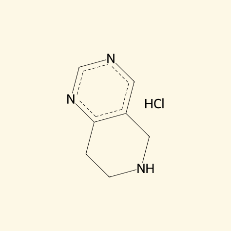 Cl.c1ncc2c(n1)CCNC2